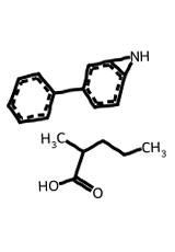 CCCC(C)C(=O)O.c1ccc(-c2ccc3c(c2)N3)cc1